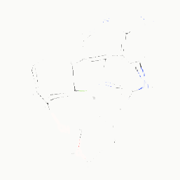 Nc1ncc(-c2cccc(O)c2F)c2nc(NC3CCOCC3)ncc12